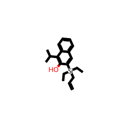 C=CC[Si](CC)(CC)c1cc2ccccc2c(C(C)C)c1O